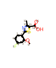 COc1cc(F)ccc1-c1nc(C)c(C(=O)O)s1